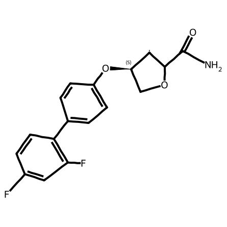 NC(=O)C1[CH][C@H](Oc2ccc(-c3ccc(F)cc3F)cc2)CO1